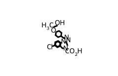 CC(CO)OC1CCC(c2nnc3n2-c2ccc(Cl)cc2CN(C(=O)O)C3)CC1